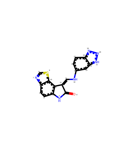 O=C1Nc2ccc3ncsc3c2C1=CNc1ccc2nn[nH]c2c1